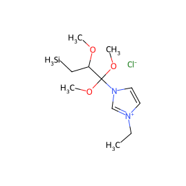 CC[n+]1ccn(C(OC)(OC)C(C[SiH3])OC)c1.[Cl-]